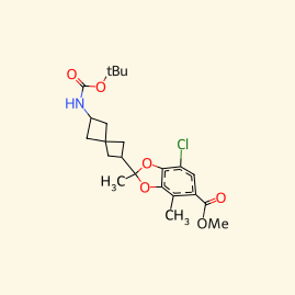 COC(=O)c1cc(Cl)c2c(c1C)OC(C)(C1CC3(CC(NC(=O)OC(C)(C)C)C3)C1)O2